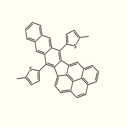 Cc1ccc(-c2c3c(c(-c4ccc(C)s4)c4cc5ccccc5cc24)-c2cc4cccc5ccc6ccc-3c2c6c54)s1